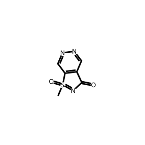 CS1(=O)=NC(=O)c2cnncc21